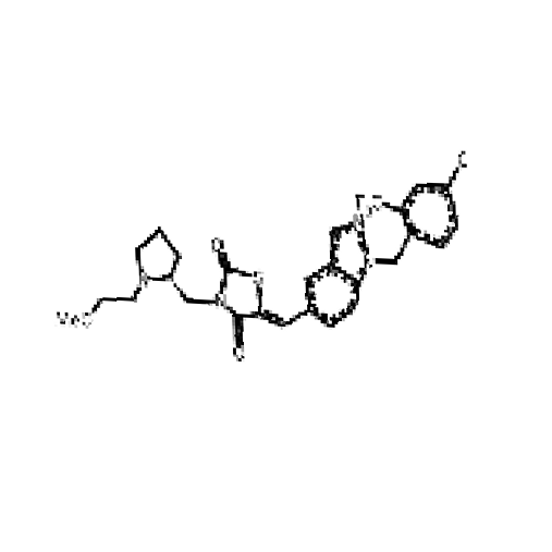 COCCN1CCC[C@H]1CN1C(=O)SC(=Cc2ccc3c(cnn3Cc3ccc(Cl)cc3C(F)(F)F)c2)C1=O